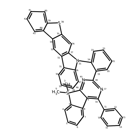 C[Si]1(C)c2ccccc2-c2c(-c3ccccc3)nc(-c3ccccc3-n3c4ccccc4c4cc5c(cc43)sc3ccccc35)nc21